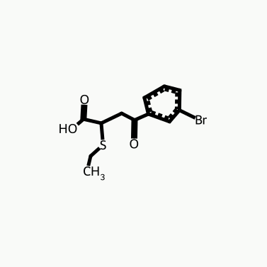 CCSC(CC(=O)c1cccc(Br)c1)C(=O)O